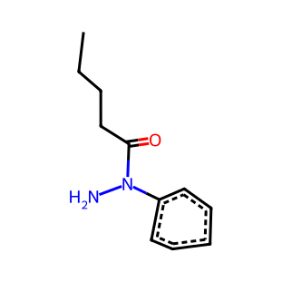 CCCCC(=O)N(N)c1ccccc1